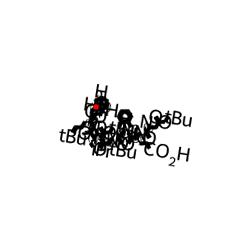 C=CCC[C@H](N=C(OC(C)(C)C)[C@H](CC(C)C)N(C(=O)OC(C)(C)C)C(=O)[C@@H](NC(=O)[C@H](Cc1ccccc1C)NC(=O)[C@H](CCC(=O)O)NC(=O)[C@@H](N)CC(=O)OC(C)(C)C)C(C)(C)C)B1O[C@H]2C[C@@H]3C[C@@H](C3(C)C)[C@]2(C)O1